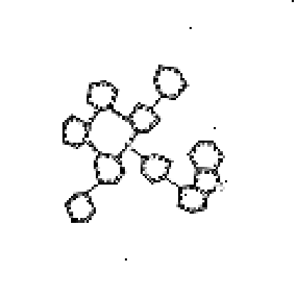 c1ccc(-c2ccc3c(c2)c2ccccc2c2ccccc2c2cc(-c4ccccc4)ccc2n3-c2ccc(-c3cccc4sc5ccccc5c34)cc2)cc1